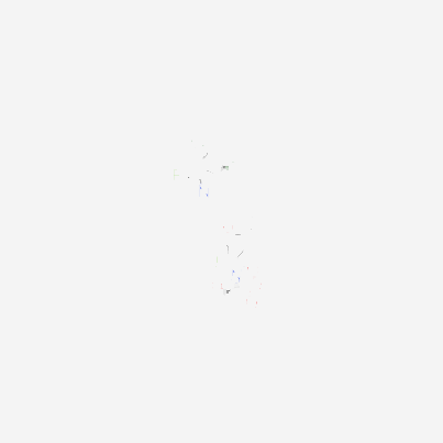 C[C@H]1OCN(C(=O)c2cc(C3CC3)c(OCC3CCN([C@H](C4=C[C@H](Cl)CC(Cl)=C4)C(F)(F)F)CC3)cc2F)[C@@H]1C(=O)O